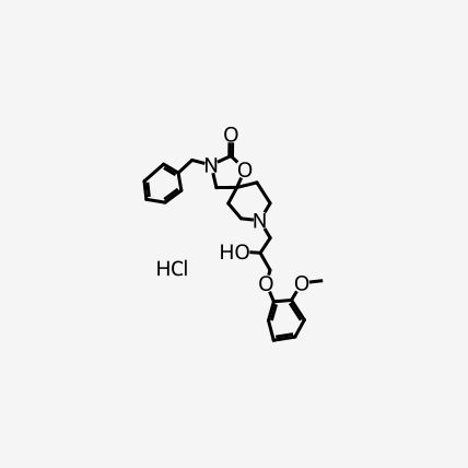 COc1ccccc1OCC(O)CN1CCC2(CC1)CN(Cc1ccccc1)C(=O)O2.Cl